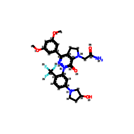 COc1cc(OC)cc(-c2nn(-c3cc(N4CCC(O)C4)ccc3C(F)(F)F)c(=O)c3c2CCN3CC(N)=O)c1